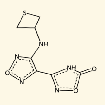 O=c1[nH]c(-c2nonc2NC2CSC2)no1